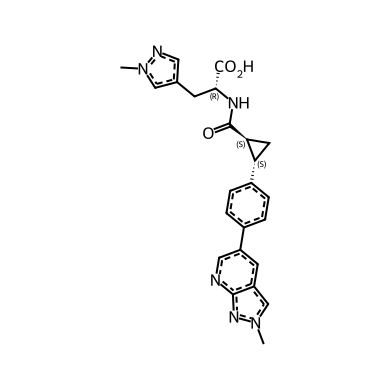 Cn1cc(C[C@@H](NC(=O)[C@H]2C[C@@H]2c2ccc(-c3cnc4nn(C)cc4c3)cc2)C(=O)O)cn1